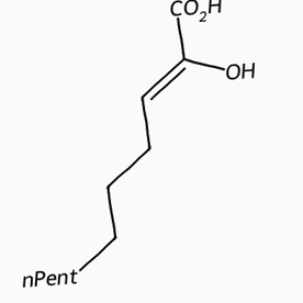 CCCCCCCC/C=C(\O)C(=O)O